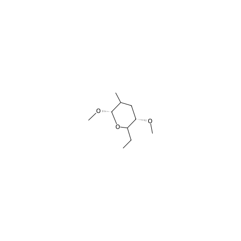 CCC1O[C@H](OC)C(C)C[C@@H]1OC